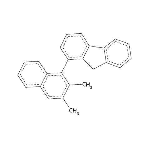 Cc1cc2ccccc2c(-c2cccc3c2Cc2ccccc2-3)c1C